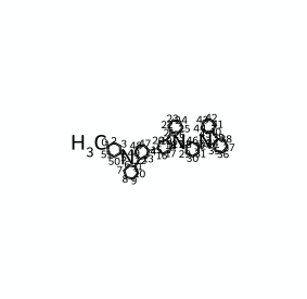 Cc1ccc(-n2c3ccccc3c3cc(-c4ccc5c(c4)c4ccccc4n5-c4cccc(-n5c6ccccc6c6ccccc65)c4)ccc32)cc1